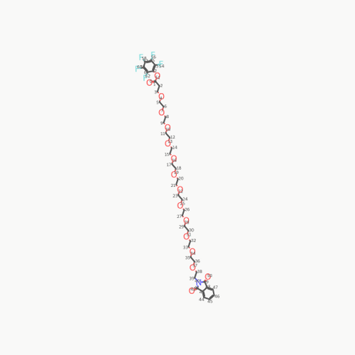 O=C(CCOCCOCCOCCOCCOCCOCCOCCOCCOCCOCCOCCOCCN1C(=O)c2ccccc2C1=O)Oc1c(F)c(F)c(F)c(F)c1F